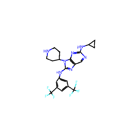 FC(F)(F)c1cc(Nc2nc3cnc(NC4CC4)nc3n2C2CCNCC2)cc(C(F)(F)F)c1